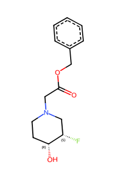 O=C(CN1CC[C@@H](O)[C@@H](F)C1)OCc1ccccc1